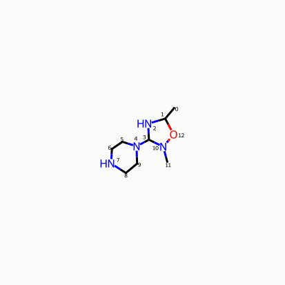 CC1NC(N2CCNCC2)N(C)O1